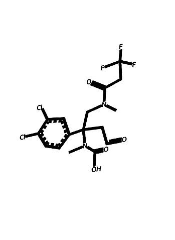 CN(CC(CC=O)(c1ccc(Cl)c(Cl)c1)N(C)C(=O)O)C(=O)CC(F)(F)F